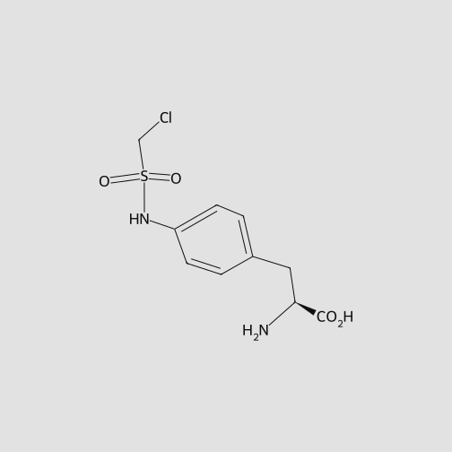 N[C@@H](Cc1ccc(NS(=O)(=O)CCl)cc1)C(=O)O